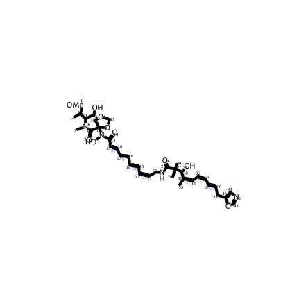 COC(C)C(CO)N(C)C(=O)C1(N(O)C(=O)/C=C/C=C/C=C/C=C\CNC(=O)C(C)(C)C(O)\C(C)=C/C=C\C=C\Cc2cnco2)COCO1